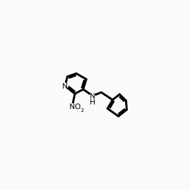 O=[N+]([O-])c1ncccc1NCc1ccccc1